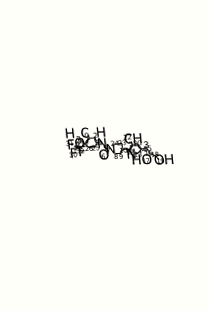 Cc1cc(NC(=O)N2CC=C(c3ncc(CC(O)CO)cc3C)CC2)ccc1OC(F)(F)F